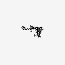 CN1CCCN(c2ccc(-n3cc(C(=O)NCCCN4CCOCC4)nn3)cc2NC(=O)c2c[nH]c(=O)cc2C(F)(F)F)CC1